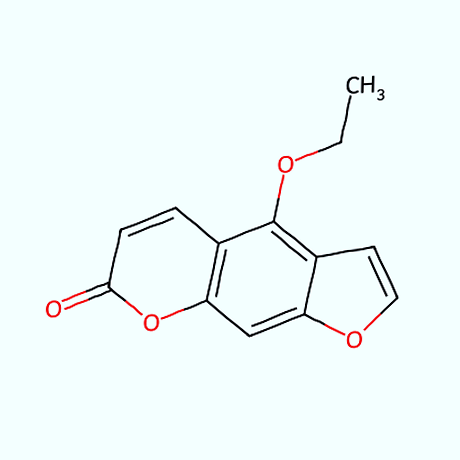 CCOc1c2ccoc2cc2oc(=O)ccc12